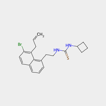 C=CCc1c(Br)ccc2cccc(CCNC(=S)NC3CCC3)c12